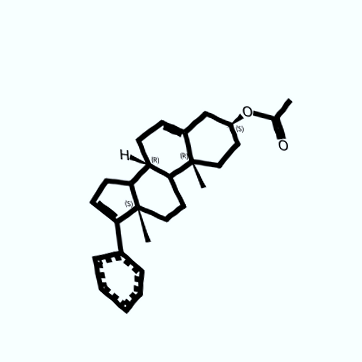 CC(=O)O[C@H]1CC[C@@]2(C)C(=CC[C@@H]3C2CC[C@]2(C)C(c4ccccc4)=CCC32)C1